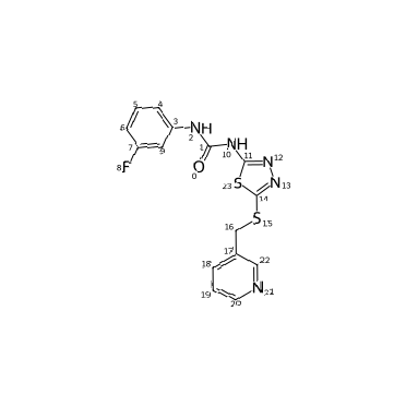 O=C(Nc1cccc(F)c1)Nc1nnc(SCc2cccnc2)s1